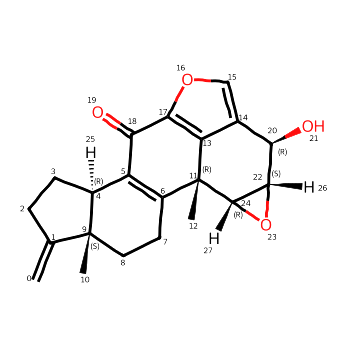 C=C1CC[C@H]2C3=C(CC[C@]12C)[C@]1(C)c2c(coc2C3=O)[C@@H](O)[C@@H]2O[C@@H]21